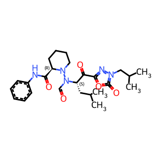 CC(C)C[C@@H](C(=O)c1nn(CC(C)C)c(=O)o1)N(C=O)N1CCCC[C@@H]1C(=O)Nc1ccccc1